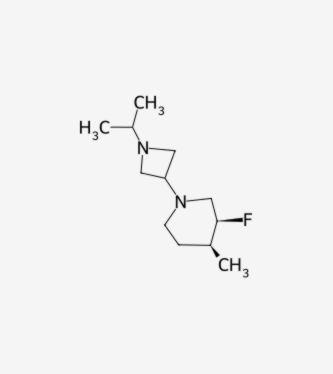 CC(C)N1CC(N2CC[C@H](C)[C@H](F)C2)C1